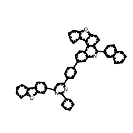 c1ccc(-c2nc(-c3ccc(-c4ccc5c(c4)nc(-c4ccc6ccccc6c4)c4ccc6oc7ccccc7c6c45)cc3)cc(-c3ccc4c(c3)oc3ccccc34)n2)cc1